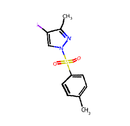 Cc1ccc(S(=O)(=O)n2cc(I)c(C)n2)cc1